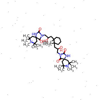 CN1C(C)(C)CC2(CC1(C)C)NC(=O)N(CC(O)CC1(C(=O)O)CCCCC1(CC(O)CN1C(=O)NC3(CC(C)(C)N(C)C(C)(C)C3)C1=O)C(=O)O)C2=O